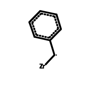 [Zr][CH]c1ccccc1